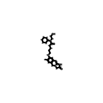 Cc1cc2c(cc1OCCCCC(=O)N(CCO)C1CCCCC1)N=C1NC(=O)CN1C2